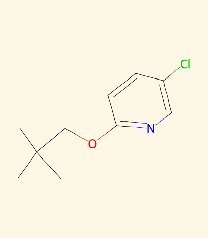 CC(C)(C)COc1ccc(Cl)cn1